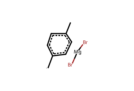 [Br][Mg][Br].[CH2]c1ccc(C)cc1